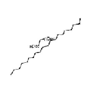 CCCCCCCCCCCCCCCCCCCC.CCCCCCCCCCCCCCCCCCCCC